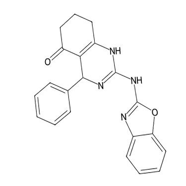 O=C1CCCC2=C1C(c1ccccc1)N=C(Nc1nc3ccccc3o1)N2